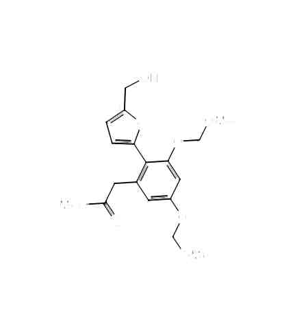 COCOc1cc(CC(=O)OC)c(-c2ccc(CO)o2)c(OCOC)c1